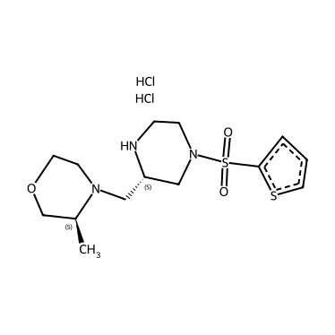 C[C@H]1COCCN1C[C@H]1CN(S(=O)(=O)c2cccs2)CCN1.Cl.Cl